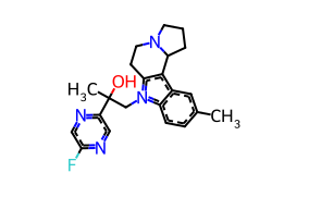 Cc1ccc2c(c1)c1c(n2CC(C)(O)c2cnc(F)cn2)CCN2CCCC12